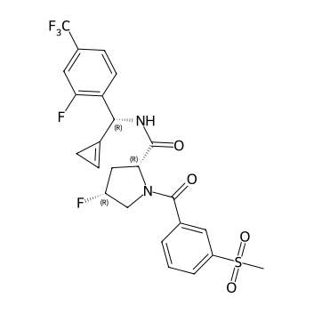 CS(=O)(=O)c1cccc(C(=O)N2C[C@H](F)C[C@@H]2C(=O)N[C@H](C2=CC2)c2ccc(C(F)(F)F)cc2F)c1